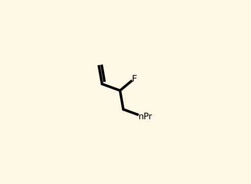 C=CC(F)CCCC